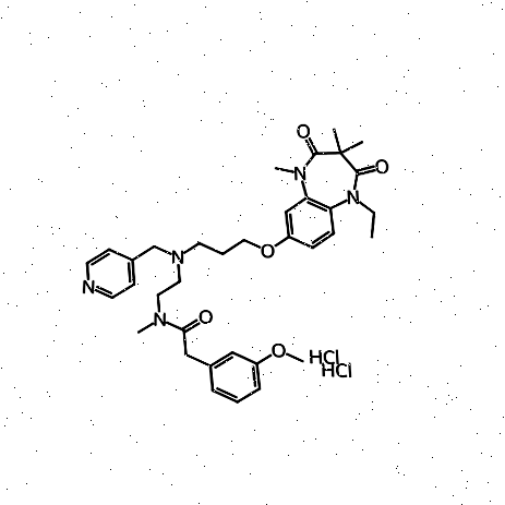 CCN1C(=O)C(C)(C)C(=O)N(C)c2cc(OCCCN(CCN(C)C(=O)Cc3cccc(OC)c3)Cc3ccncc3)ccc21.Cl.Cl